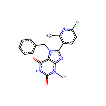 Cc1nc(Cl)ccc1-c1nc2c(c(=O)[nH]c(=O)n2C(C)C)n1Cc1ccccc1